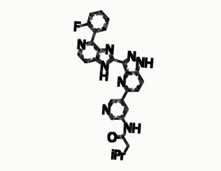 CC(C)CC(=O)Nc1cncc(-c2ccc3[nH]nc(-c4nc5c(-c6ccccc6F)nccc5[nH]4)c3n2)c1